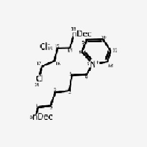 CCCCCCCCCCCCCCCC[n+]1ccccc1.CCCCCCCCCCCCCCCl.[Cl-]